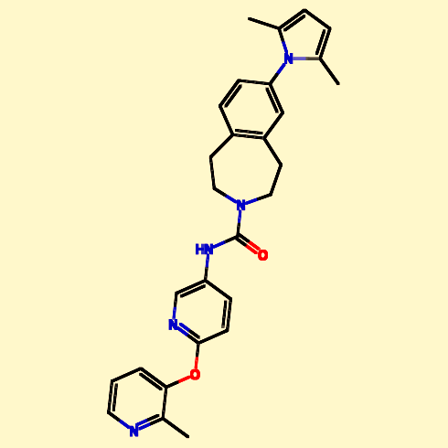 Cc1ncccc1Oc1ccc(NC(=O)N2CCc3ccc(-n4c(C)ccc4C)cc3CC2)cn1